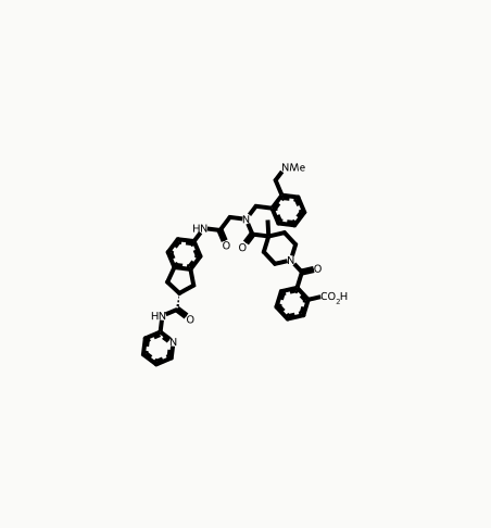 CNCc1ccccc1CN(CC(=O)Nc1ccc2c(c1)C[C@H](C(=O)Nc1ccccn1)C2)C(=O)C1(C)CCN(C(=O)c2ccccc2C(=O)O)CC1